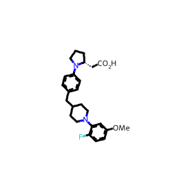 COc1ccc(F)c(N2CCC(Cc3ccc(N4CCC[C@@H]4CC(=O)O)cc3)CC2)c1